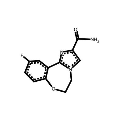 NC(=O)c1cn2c(n1)-c1cc(F)ccc1OCC2